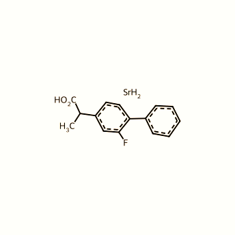 CC(C(=O)O)c1ccc(-c2ccccc2)c(F)c1.[SrH2]